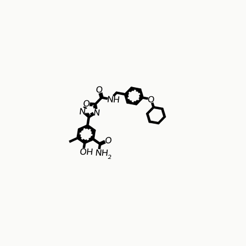 Cc1cc(-c2noc(C(=O)NCc3ccc(OC4CCCCC4)cc3)n2)cc(C(N)=O)c1O